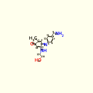 CC1=C/C(=N\c2ccc(CN)cc2)C(NCCO)=CC1=O